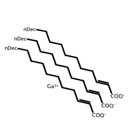 CCCCCCCCCCCCCCCCCC=CC(=O)[O-].CCCCCCCCCCCCCCCCCC=CC(=O)[O-].CCCCCCCCCCCCCCCCCC=CC(=O)[O-].[Ga+3]